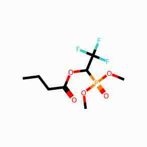 CCCC(=O)OC(C(F)(F)F)P(=O)(OC)OC